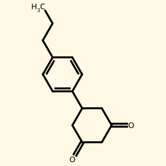 CCCc1ccc(C2CC(=O)CC(=O)C2)cc1